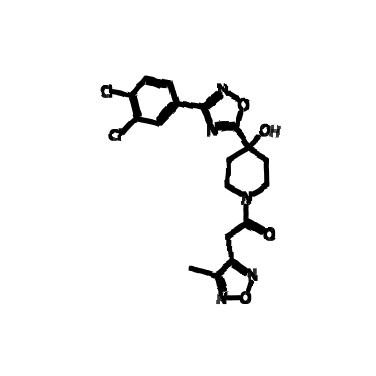 Cc1nonc1CC(=O)N1CCC(O)(c2nc(-c3ccc(Cl)c(Cl)c3)no2)CC1